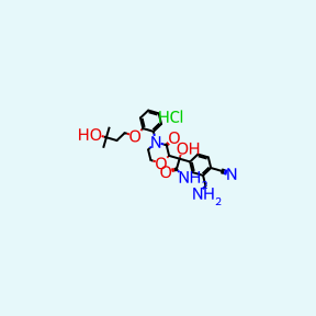 CC(C)(O)CCOc1ccccc1N1CCO[C@H]([C@@](O)(C(N)=O)c2ccc(C#N)c(CN)c2)C1=O.Cl